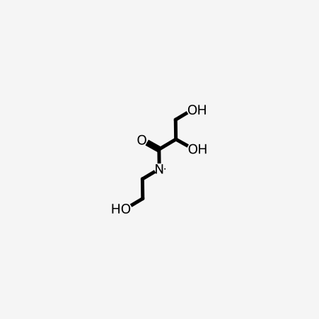 O=C([N]CCO)C(O)CO